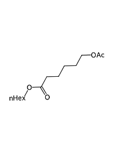 CCCCCCOC(=O)CCCCCOC(C)=O